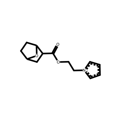 O=C(OCCn1cccc1)C1CC2CCC1O2